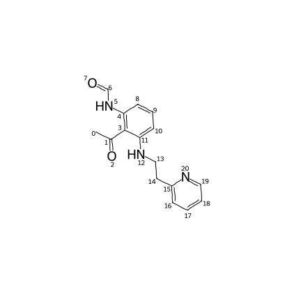 CC(=O)c1c(NC=O)cccc1NCCc1ccccn1